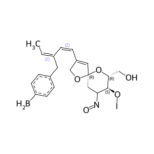 Bc1ccc(CC(/C=C\C2=C[C@]3(CC(N=O)[C@H](OI)[C@@H](CO)O3)OC2)=C/C)cc1